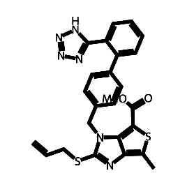 C=CCSc1nc2c(C)sc(C(=O)OC)c2n1Cc1ccc(-c2ccccc2-c2nnn[nH]2)cc1